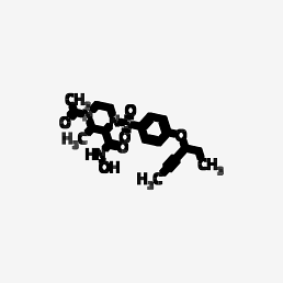 CC#CC(CC)Oc1ccc(S(=O)(=O)N2CCN(C(C)=O)C(C)C2C(=O)NO)cc1